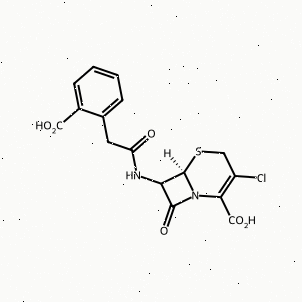 O=C(Cc1ccccc1C(=O)O)NC1C(=O)N2C(C(=O)O)=C(Cl)CS[C@H]12